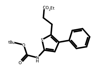 CCOC(=O)CCc1sc(NC(=O)OC(C)(C)C)cc1-c1ccccc1